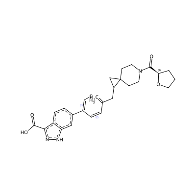 C=C(/C=C\C(=C/C)c1ccc2c(C(=O)O)n[nH]c2c1)CC1CC12CCN(C(=O)[C@H]1CCCO1)CC2